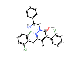 Cc1c(Cc2c(Cl)cccc2Cl)nn(CC(N)c2ccccc2)c(=O)c1-c1ccccc1Cl